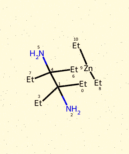 CCC(N)(CC)C(N)(CC)CC.C[CH2][Zn][CH2]C